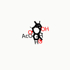 CC(=O)O[C@H]1C[C@H]2OC[C@@]2(C)[C@H]2[C@H](C)[C@]3(O)C[C@H](C)C(C)=C([C@@H](C)C(=O)[C@]12C)C3(C)C